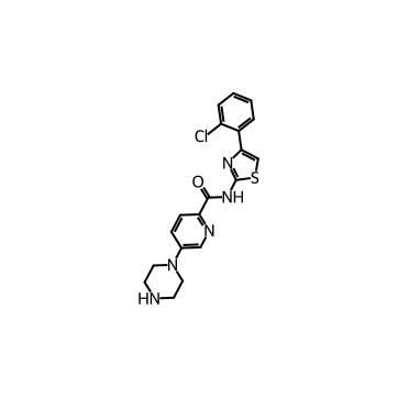 O=C(Nc1nc(-c2ccccc2Cl)cs1)c1ccc(N2CCNCC2)cn1